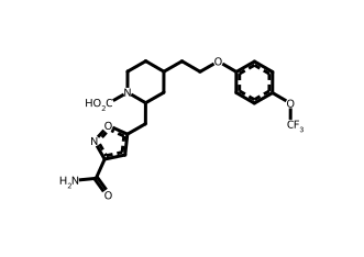 NC(=O)c1cc(CC2CC(CCOc3ccc(OC(F)(F)F)cc3)CCN2C(=O)O)on1